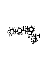 O=C(Nc1nccs1)c1cccc2[nH]c(-c3ccc(N4CCOCC4)cc3)nc12